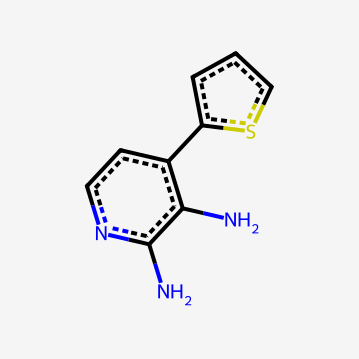 Nc1nccc(-c2cccs2)c1N